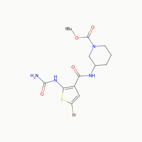 CC(C)(C)OC(=O)N1CCCC(NC(=O)c2cc(Br)sc2NC(N)=O)C1